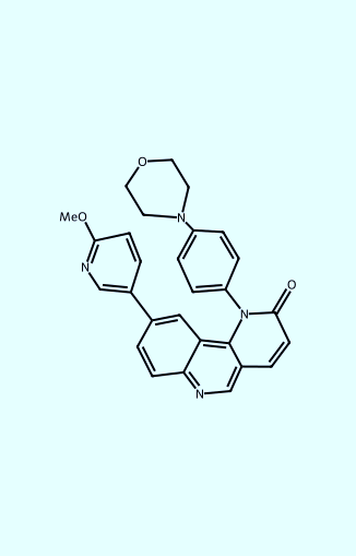 COc1ccc(-c2ccc3ncc4ccc(=O)n(-c5ccc(N6CCOCC6)cc5)c4c3c2)cn1